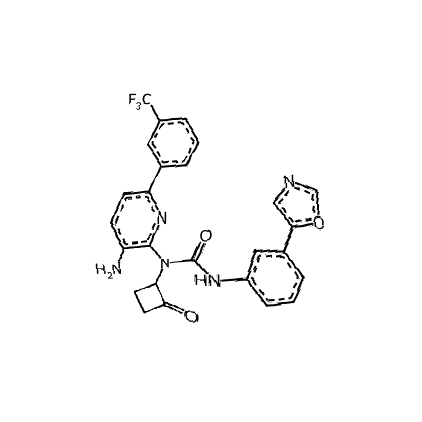 Nc1ccc(-c2cccc(C(F)(F)F)c2)nc1N(C(=O)Nc1cccc(-c2cnco2)c1)C1CCC1=O